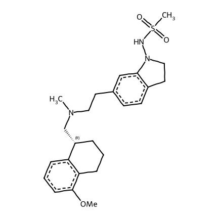 COc1cccc2c1CCC[C@H]2CN(C)CCc1ccc2c(c1)N(NS(C)(=O)=O)CC2